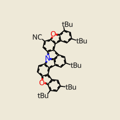 CC(C)(C)c1cc(C(C)(C)C)c2oc3ccc4c(c5cc(C(C)(C)C)cc6c7c8c(oc9c(C(C)(C)C)cc(C(C)(C)C)cc98)c(C#N)cc7n4c56)c3c2c1